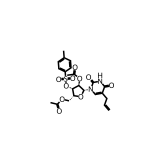 C=CCc1cn([C@@H]2O[C@H](COC(C)=O)[C@H](OS(=O)(=O)c3ccc(C)cc3)[C@H]2OC(C)=O)c(=O)[nH]c1=O